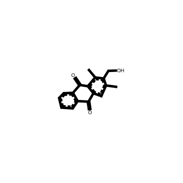 Cc1cc2c(c(C)c1CO)C(=O)c1ccccc1C2=O